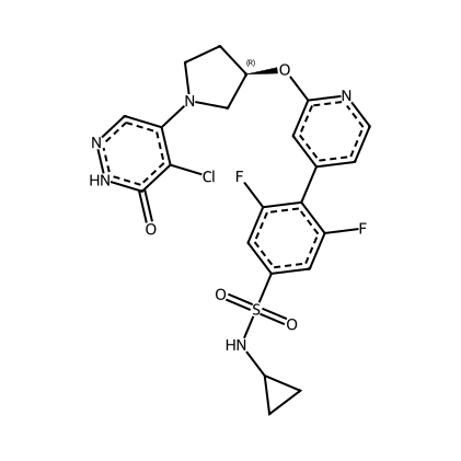 O=c1[nH]ncc(N2CC[C@@H](Oc3cc(-c4c(F)cc(S(=O)(=O)NC5CC5)cc4F)ccn3)C2)c1Cl